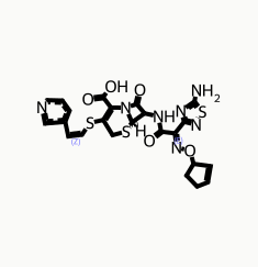 Nc1nc(/C(=N\OC2C=CCC2)C(=O)NC2C(=O)N3C(C(=O)O)=C(S/C=C\c4cccnc4)CS[C@H]23)ns1